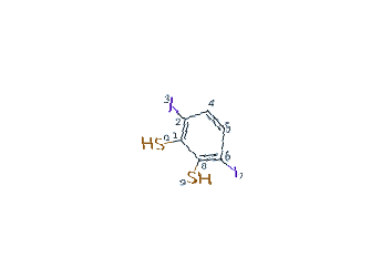 Sc1c(I)ccc(I)c1S